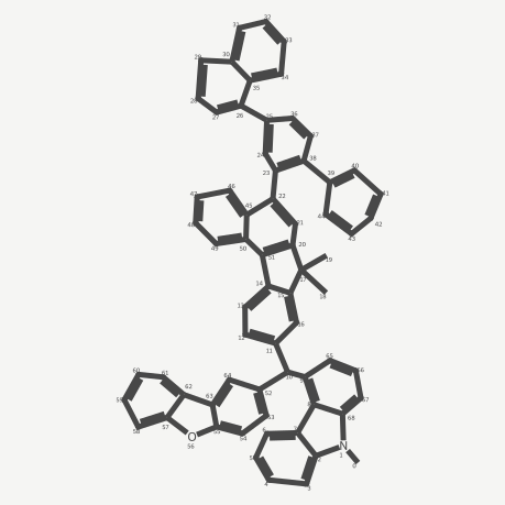 Cn1c2ccccc2c2c(C(c3ccc4c(c3)C(C)(C)c3cc(-c5cc(-c6cccc7ccccc67)ccc5-c5ccccc5)c5ccccc5c3-4)c3ccc4oc5ccccc5c4c3)cccc21